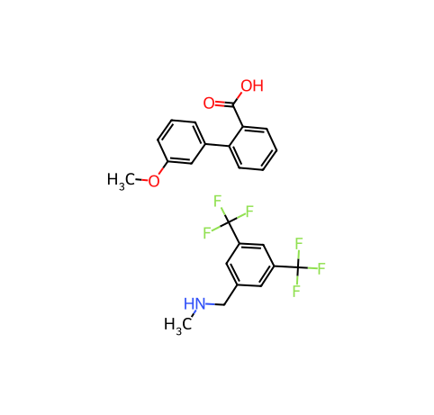 CNCc1cc(C(F)(F)F)cc(C(F)(F)F)c1.COc1cccc(-c2ccccc2C(=O)O)c1